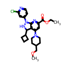 CCOC(=O)c1cc(N2CCC(COC)CC2)c2c(n1)N(c1ccnc(Cl)c1)NC2C1CCC1